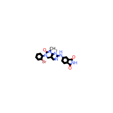 CN1C(=O)N(c2ccccc2Br)Cc2cnc(Nc3ccc4c(c3)C(=O)NC4=O)nc21